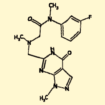 CN(CC(=O)N(C)c1cccc(F)c1)Cc1nc2c(cnn2C)c(=O)[nH]1